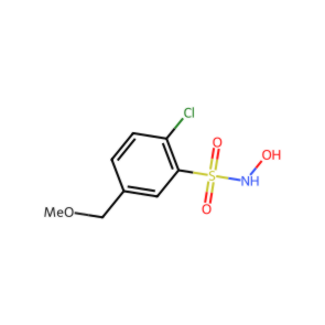 COCc1ccc(Cl)c(S(=O)(=O)NO)c1